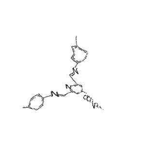 Cc1ccc(N=Cc2cc(C)cc(C=Nc3ccc(C)cc3)n2)cc1.[Cl-].[Cl-].[V+2]